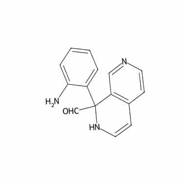 Nc1ccccc1C1(C=O)NC=Cc2ccncc21